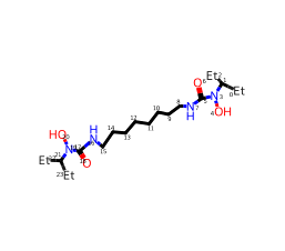 CCC(CC)N(O)C(=O)NCCCCCCCCNC(=O)N(O)C(CC)CC